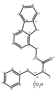 CN(C(=O)OCc1cccc2c1Cc1ccccc1-2)[C@@H](Cc1ccccc1)C(=O)O